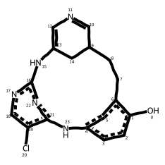 Oc1ccc2cc1CCC1C=NC=C(C1)Nc1ncc(Cl)c(n1)N2